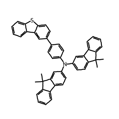 CC1(C)c2ccccc2-c2cc(N(c3ccc(-c4ccc5sc6ccccc6c5c4)cc3)c3ccc4c(c3)C(C)(C)c3ccccc3-4)ccc21